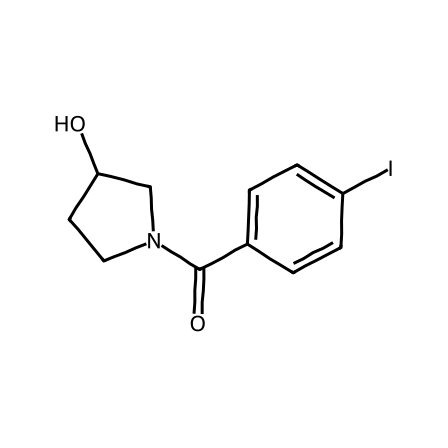 O=C(c1ccc(I)cc1)N1CCC(O)C1